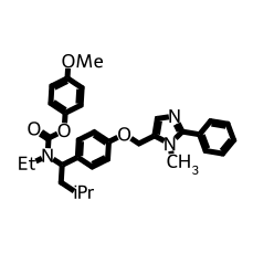 CCN(C(=O)Oc1ccc(OC)cc1)C(CC(C)C)c1ccc(OCc2cnc(-c3ccccc3)n2C)cc1